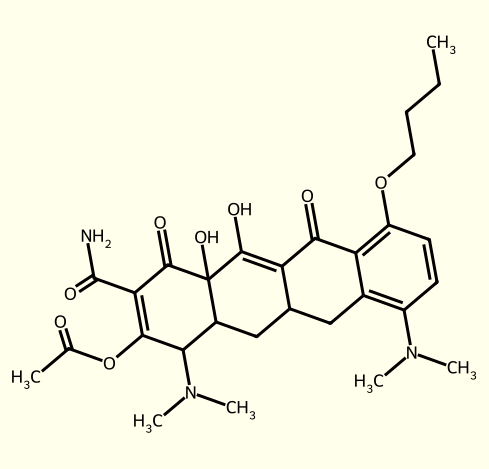 CCCCOc1ccc(N(C)C)c2c1C(=O)C1=C(O)C3(O)C(=O)C(C(N)=O)=C(OC(C)=O)C(N(C)C)C3CC1C2